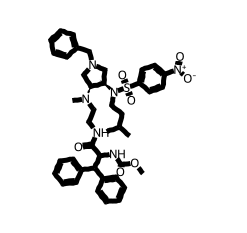 COC(=O)NC(C(=O)NCCN(C)[C@@H]1CN(Cc2ccccc2)C[C@H]1N(CCC(C)C)S(=O)(=O)c1ccc([N+](=O)[O-])cc1)C(c1ccccc1)c1ccccc1